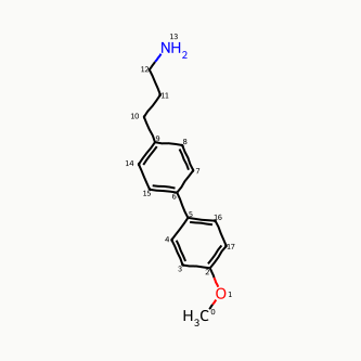 COc1ccc(-c2ccc(CCCN)cc2)cc1